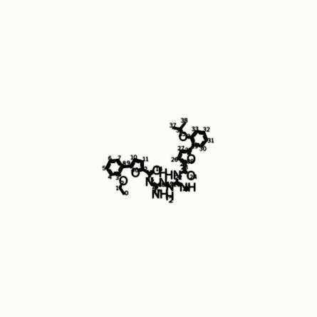 CCOc1ccccc1-c1ccc(C(=O)N=C(N)NNC(=N)NC(=O)c2ccc(-c3ccccc3OC(C)C)o2)o1